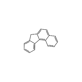 [c]1[c]c2c3c(ccc2cc1)Cc1ccccc1-3